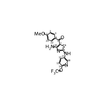 COc1ccc(C(=O)c2sc(Nc3ccc(OC(F)(F)F)nc3)nc2N)cc1